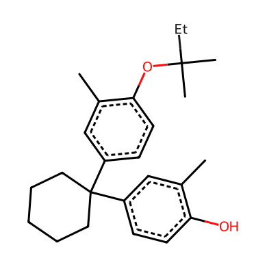 CCC(C)(C)Oc1ccc(C2(c3ccc(O)c(C)c3)CCCCC2)cc1C